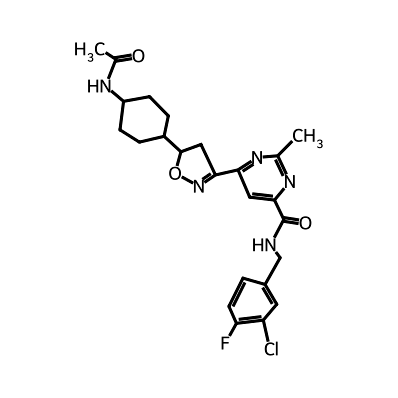 CC(=O)NC1CCC(C2CC(c3cc(C(=O)NCc4ccc(F)c(Cl)c4)nc(C)n3)=NO2)CC1